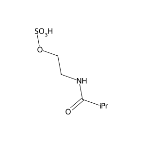 CC(C)C(=O)NCCOS(=O)(=O)O